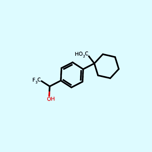 O=C(O)C1(c2ccc(C(O)C(F)(F)F)cc2)CCCCC1